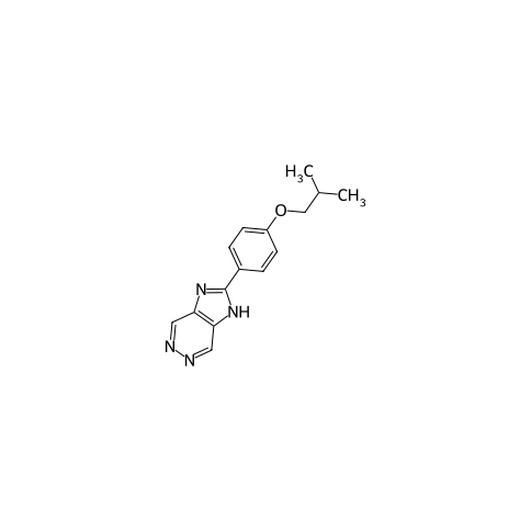 CC(C)COc1ccc(-c2nc3cnncc3[nH]2)cc1